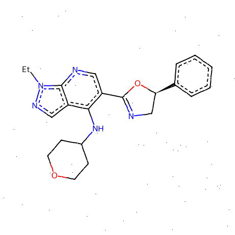 CCn1ncc2c(NC3CCOCC3)c(C3=NC[C@H](c4ccccc4)O3)cnc21